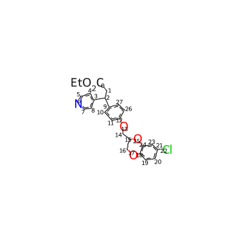 CCOC(=O)CC(c1ccncc1)c1ccc(OCC2COc3ccc(Cl)cc3O2)cc1